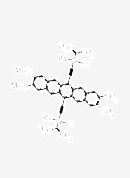 C=C(C)[Si](C#Cc1c2cc3cc(C)c(C)cc3cc2c(C#C[Si](C(=C)C)(C(C)C)C(C)C)c2cc3cc(OC)c(OC)cc3cc12)(C(C)C)C(C)C